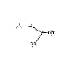 CCCCC(CCC)N=O